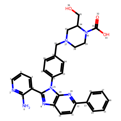 Nc1ncccc1-c1nc2ccc(-c3ccccc3)nc2n1-c1ccc(CN2CCN(C(=O)O)C(CO)C2)cc1